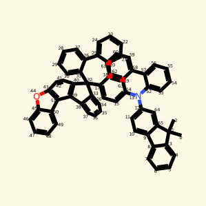 CC1(C)c2ccccc2-c2ccc(N(c3ccc4c(c3)-c3ccccc3-c3ccccc3C43c4ccccc4-c4c3ccc3oc5ccccc5c43)c3ccccc3-c3ccccc3)cc21